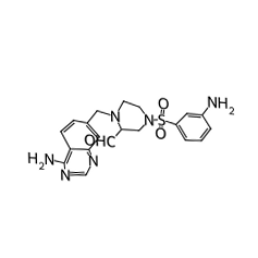 Nc1cccc(S(=O)(=O)N2CCN(Cc3ccc4c(N)ncnc4c3)C(C=O)C2)c1